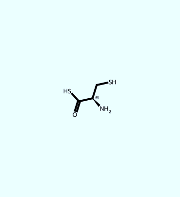 N[C@H](CS)C(=O)S